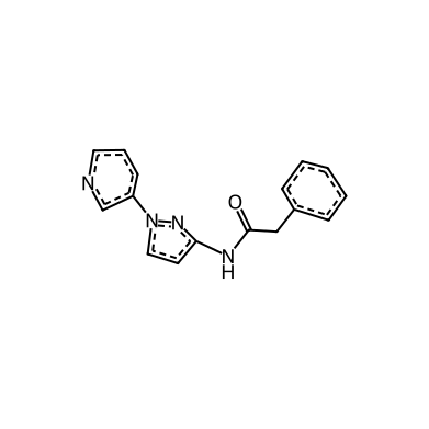 O=C(Cc1ccccc1)Nc1ccn(-c2cccnc2)n1